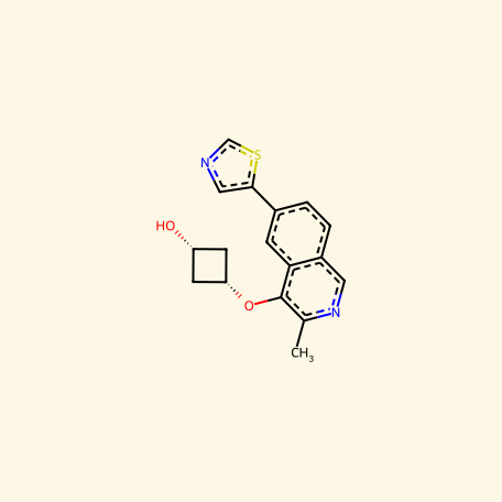 Cc1ncc2ccc(-c3cncs3)cc2c1O[C@H]1C[C@@H](O)C1